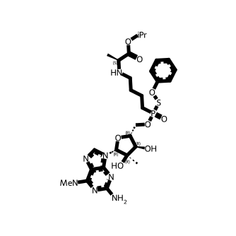 CNc1nc(N)nc2c1ncn2[C@@H]1O[C@H](COP(=O)(CCCCN[C@@H](C)C(=O)OC(C)C)SOc2ccccc2)[C@@H](O)[C@@]1(C)O